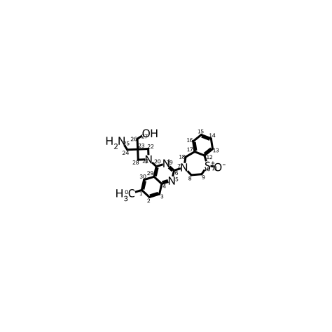 Cc1ccc2nc(N3CC[S+]([O-])c4ccccc4C3)nc(N3CC(CN)(CO)C3)c2c1